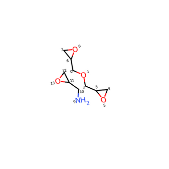 C(OCC1CO1)C1CO1.NCC1CO1